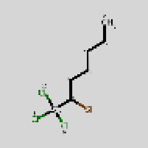 CCCCCC(S)[Si](Cl)(Cl)Cl